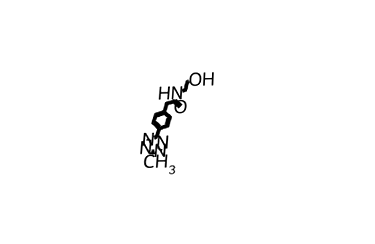 Cc1nnc(-c2ccc(CC(=O)NCCO)cc2)nn1